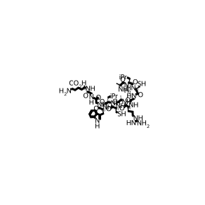 CC(C)C[C@H](NC(=O)[C@H](C)N)C(=O)N[C@@H](CS)C(=O)NCC(=O)N[C@@H](CCCNC(=N)N)C(=O)N[C@@H](C)C(=O)N[C@@H](CS)C(=O)N[C@@H](CC(C)C)C(=O)N[C@@H](Cc1c[nH]c2ccccc12)C(=O)NCC(=O)NCC(=O)N[C@@H](CCCCN)C(=O)O